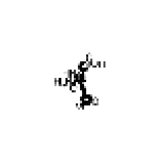 CNc1c(C(N)=O)c(C#Cc2cc(OC)cc(OC)c2)nn1C1CCN(C(=O)O)C1